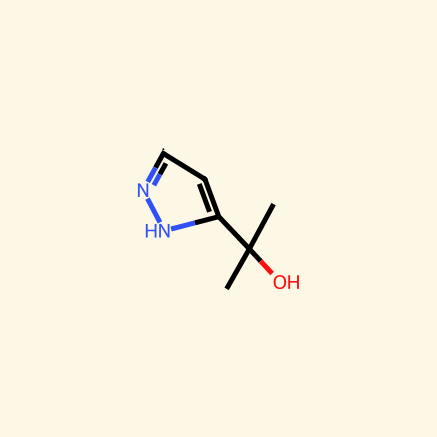 CC(C)(O)c1c[c]n[nH]1